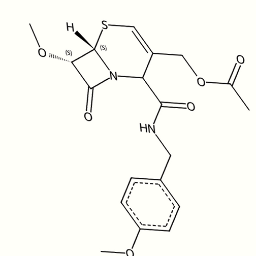 COc1ccc(CNC(=O)C2C(COC(C)=O)=CS[C@H]3[C@@H](OC)C(=O)N23)cc1